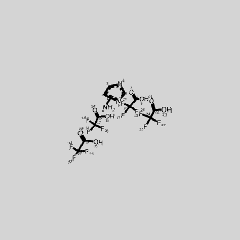 Nc1ccncn1.O=C(O)C(F)(F)F.O=C(O)C(F)(F)F.O=C(O)C(F)(F)F.O=C(O)C(F)(F)F